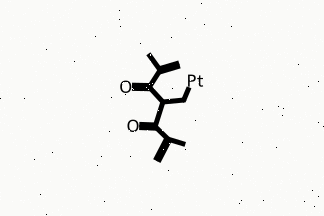 C=C(C)C(=O)C([CH2][Pt])C(=O)C(=C)C